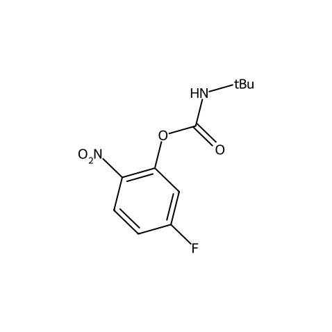 CC(C)(C)NC(=O)Oc1cc(F)ccc1[N+](=O)[O-]